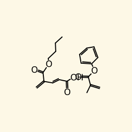 C=C(C)C(=O)Oc1ccccc1.C=C(C=CC(=O)O)C(=O)OCCCC